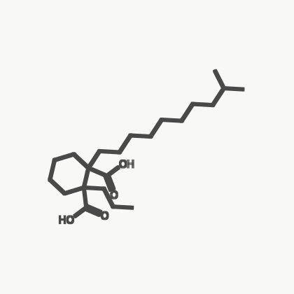 CCCC1(C(=O)O)CCCCC1(CCCCCCCCC(C)C)C(=O)O